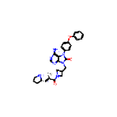 N#C/C(=C\[C@@H]1CCCN1)C(=O)N1CC(Cn2c(=O)n(-c3ccc(Oc4ccccc4)cc3)c3c(N)ncnc32)C1